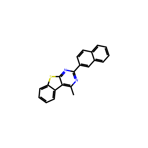 Cc1nc(-c2ccc3ccccc3c2)nc2sc3ccccc3c12